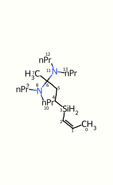 C/C=C\[SiH2]CCC(C)(N(CCC)CCC)N(CCC)CCC